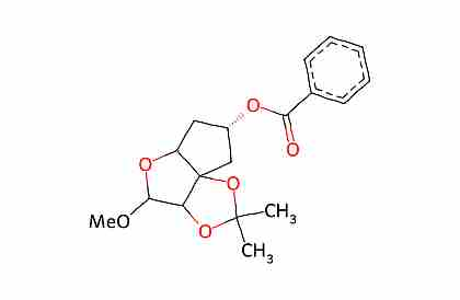 COC1OC2C[C@H](OC(=O)c3ccccc3)CC23OC(C)(C)OC13